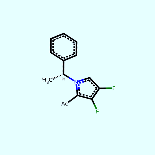 CC(=O)c1c(F)c(F)cn1[C@H](C)c1ccccc1